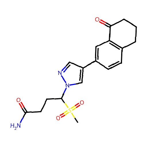 CS(=O)(=O)C(CCC(N)=O)n1cc(-c2ccc3c(c2)C(=O)CCC3)cn1